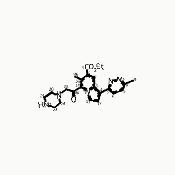 CCOC(=O)c1cc2c(-c3ccc(C)nn3)ccn2c(C(=O)CN2CCNCC2)c1C